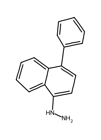 NNc1ccc(-c2ccccc2)c2ccccc12